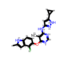 Cc1cc2c(F)c(Oc3ncnc(Nc4cc(C5CC5)[nH]n4)c3C#N)ccc2[nH]1